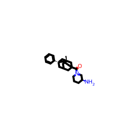 C[C@]12CC3CC(C(=O)N4CCC[C@H](N)C4)(C1)C[C@@](c1ccccc1)(C3)C2